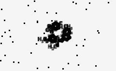 CC[n+]1c(C=C2CCC3=C(C=C(C)CC3)C2)sc2ccc(SC)cc21.Cc1ccc(S(=O)(=O)[O-])cc1